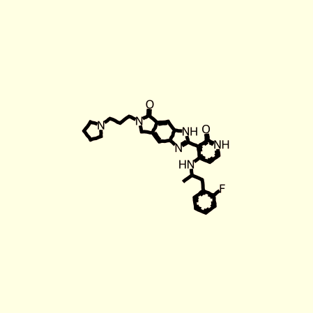 CC(Cc1ccccc1F)Nc1cc[nH]c(=O)c1C1=NC2C=C3CN(CCCN4CCCC4)C(=O)C3=CC2N1